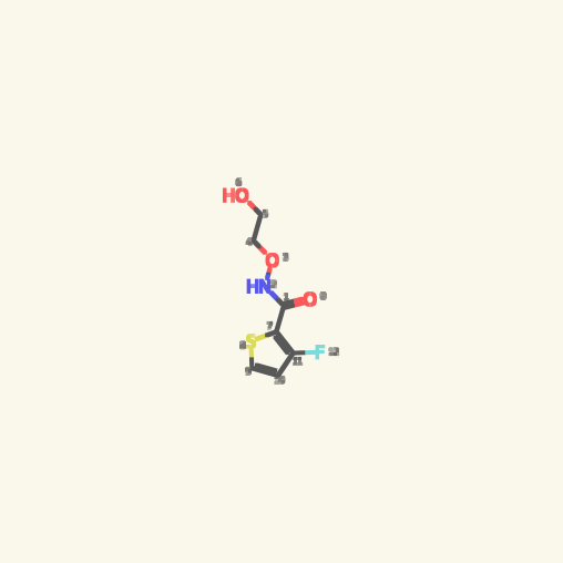 O=C(NOCCO)c1sccc1F